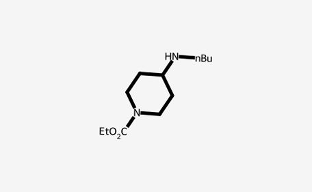 CCCCNC1CCN(C(=O)OCC)CC1